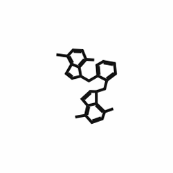 Cc1ccc(C)c2c1C=CC2Cc1ccccc1CC1C=Cc2c(C)ccc(C)c21